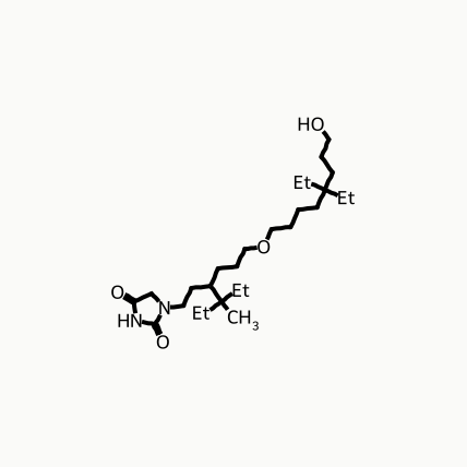 CCC(CC)(CCCO)CCCCOCCCC(CCN1CC(=O)NC1=O)C(C)(CC)CC